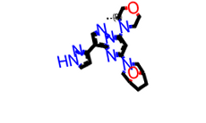 C[C@@H]1COCCN1c1cc(N2CC3CCC(C2)O3)nc2c(-c3cc[nH]n3)cnn12